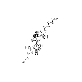 CCCCCC(O)C(CC(O)C(CC(C(O)CCCCCC[C]=O)[N+](=O)[O-])[N+](=O)[O-])[N+](=O)[O-]